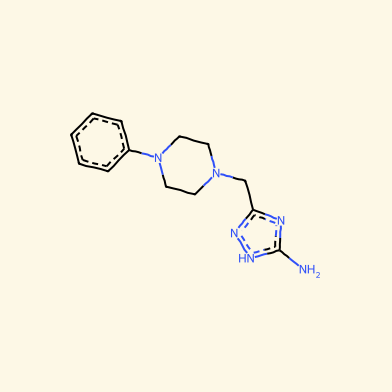 Nc1nc(CN2CCN(c3ccccc3)CC2)n[nH]1